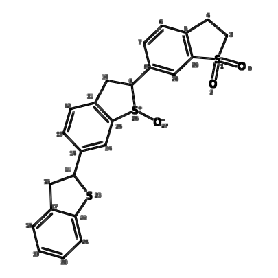 O=S1(=O)CCc2ccc(C3Cc4ccc(C5Cc6ccccc6S5)cc4[S+]3[O-])cc21